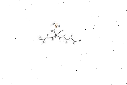 CCCCCCC(C)(CCCC)CSC